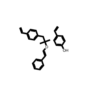 C=Cc1ccc(CC(C)(C)OC=Cc2ccccc2)cc1.C=Cc1ccc(O)cc1